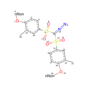 CCCCCCCCCOc1ccc(S(=O)(=O)C(=[N+]=[N-])S(=O)(=O)c2ccc(OCCCCCCCCC)c(C)c2)cc1C